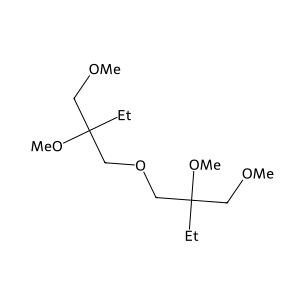 CCC(COC)(COCC(CC)(COC)OC)OC